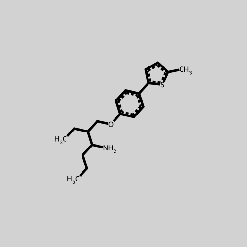 CCCC(N)C(CC)COc1ccc(-c2ccc(C)s2)cc1